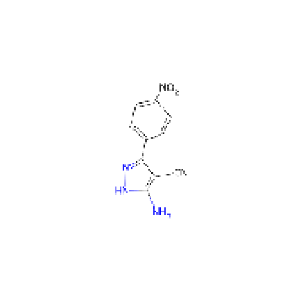 N#Cc1c(-c2ccc([N+](=O)[O-])cc2)n[nH]c1N